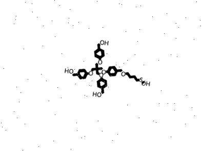 OCc1ccc(OCC(COc2ccc(CO)cc2)(COc2ccc(CO)cc2)COc2ccc(COCCCCSO)cc2)cc1